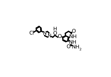 NC(=O)Nc1ccc(OCC(O)CN2CCN(c3cccc(Cl)c3)CC2)c2c1NC(=O)CC2